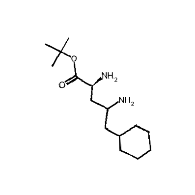 CC(C)(C)OC(=O)[C@@H](N)CC(N)CC1CCCCC1